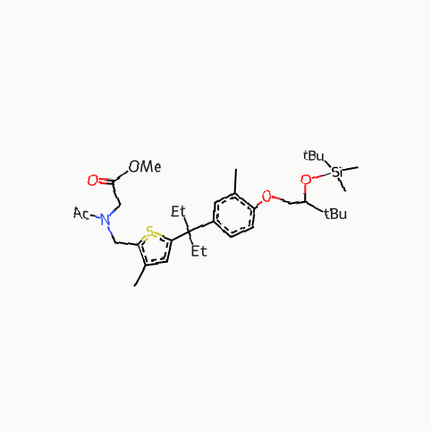 CCC(CC)(c1ccc(OCC(O[Si](C)(C)C(C)(C)C)C(C)(C)C)c(C)c1)c1cc(C)c(CN(CC(=O)OC)C(C)=O)s1